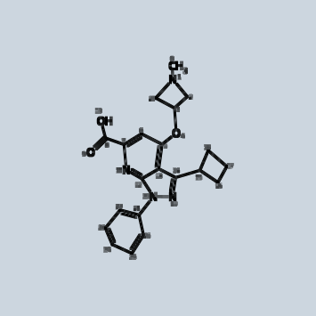 CN1CC(Oc2cc(C(=O)O)nc3c2c(C2CCC2)nn3-c2ccccc2)C1